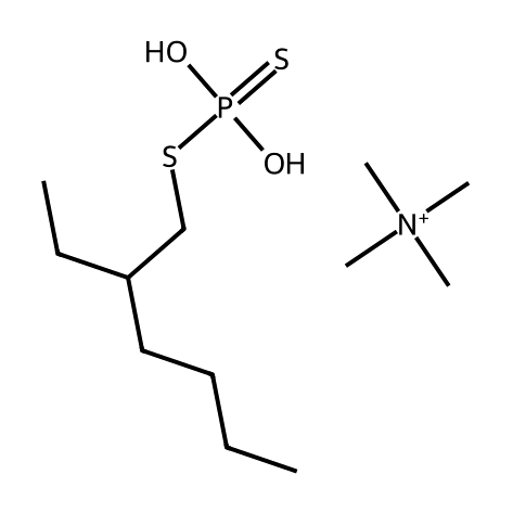 CCCCC(CC)CSP(O)(O)=S.C[N+](C)(C)C